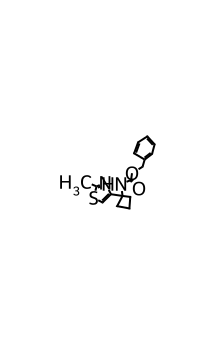 Cc1nc(C2(NC(=O)OCc3ccccc3)CCC2)cs1